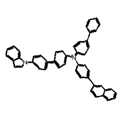 c1ccc(-c2ccc(N(c3ccc(-c4ccc(-n5ccc6ccccc65)cc4)cc3)c3ccc(-c4ccc5ccccc5c4)cc3)cc2)cc1